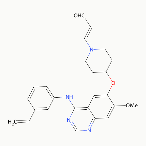 C=Cc1cccc(Nc2ncnc3cc(OC)c(OC4CCN(C=CC=O)CC4)cc23)c1